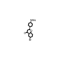 CNc1ccc(-c2cc(=O)c3cc(Br)ccc3o2)cc1